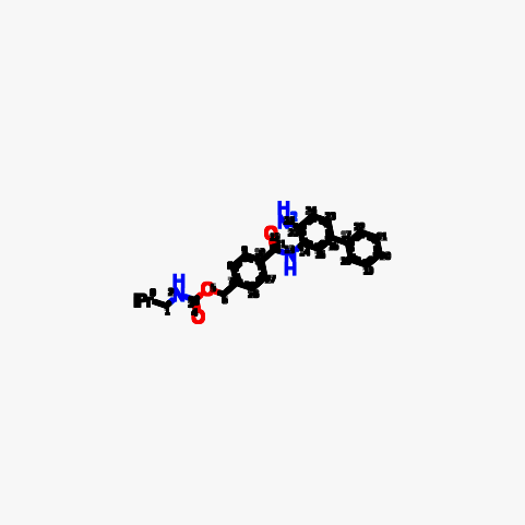 CC(C)CNC(=O)OCc1ccc(C(=O)Nc2cc(-c3ccccc3)ccc2N)cc1